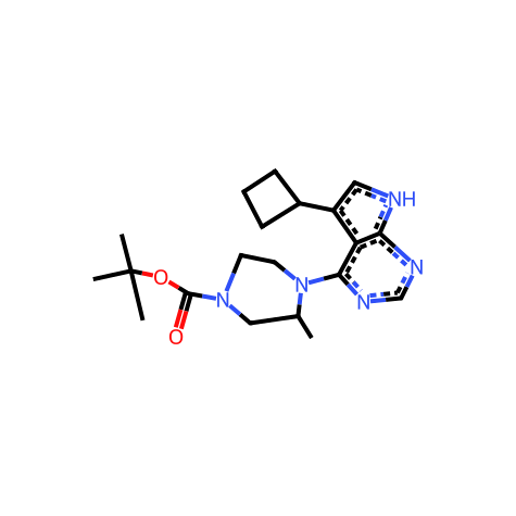 CC1CN(C(=O)OC(C)(C)C)CCN1c1ncnc2[nH]cc(C3CCC3)c12